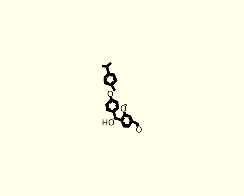 COc1cc(C=O)ccc1C(O)c1ccc(OCc2ccc(C(C)C)cc2)cc1